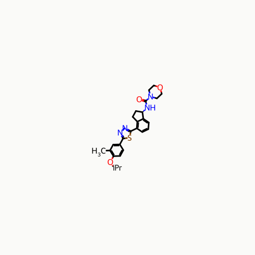 Cc1cc(-c2nnc(-c3cccc4c3CC[C@H]4NC(=O)N3CCOCC3)s2)ccc1OC(C)C